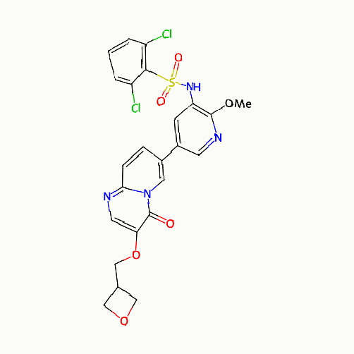 COc1ncc(-c2ccc3ncc(OCC4COC4)c(=O)n3c2)cc1NS(=O)(=O)c1c(Cl)cccc1Cl